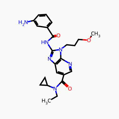 CCN(C(=O)c1cnc2c(c1)nc(NC(=O)c1cccc(N)c1)n2CCCOC)C1CC1